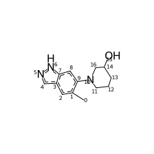 Cc1cc2cn[nH]c2cc1N1CCCC(O)C1